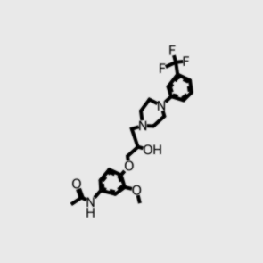 COc1cc(NC(C)=O)ccc1OCC(O)CN1CCN(c2cccc(C(F)(F)F)c2)CC1